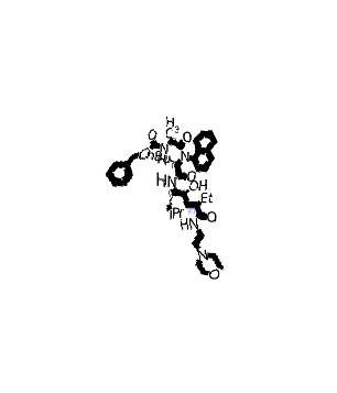 CCCC[C@@H](C(=O)N[C@@H](CC(C)C)[C@@H](O)/C=C(\CC)C(=O)NCCN1CCOCC1)N(C(=O)[C@H](C)NC(=O)OCc1ccccc1)c1cccc2ccccc12